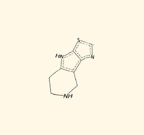 [c]1nc2c3c([nH]c2s1)CCNC3